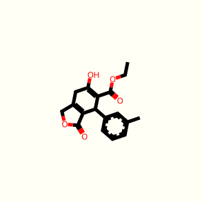 CCOC(=O)C1=C(O)CC2=C(C(=O)OC2)C1c1cccc(C)c1